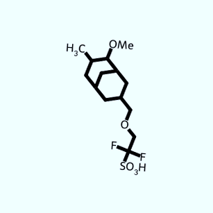 COC1C(C)CC2CC(COCC(F)(F)S(=O)(=O)O)CC1C2